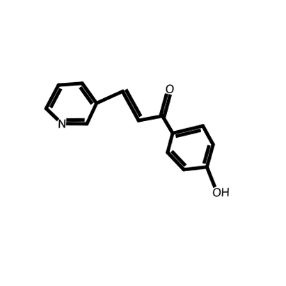 O=C(C=Cc1cccnc1)c1ccc(O)cc1